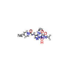 CC(C)Cn1c(=O)c(C(=O)NC2CC2)c(O)n2ncc(/C=C/C(=O)N3CCC(C#N)CC3)c12